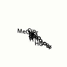 COC(=O)N[C@H](C(=O)N1[C@H](c2nc3ccc4cc5c(cc4c3[nH]2)OCc2cc(B3CC(C)(C)C(C)(C)C3)ccc2-5)C[C@@H]2CCC[C@@H]21)C(C)C